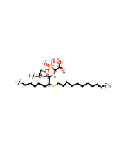 CCCCCCCCCCCSC(CCCCCC)C(C)OC(C(=O)O)P(=O)(O)OCCC